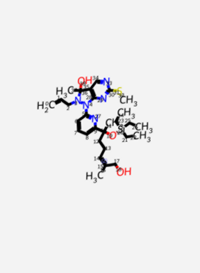 C=CCN1N(c2cccc(C(C)(CC/C=C(/C)CO)O[Si](CC)(CC)CC)n2)c2nc(SC)ncc2C1(C)O